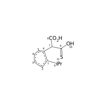 CC(C)c1ccccc1C(C(=O)O)C(O)=S